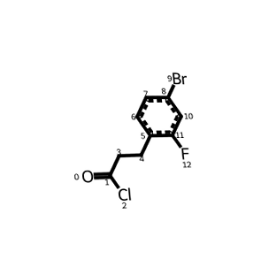 O=C(Cl)CCc1ccc(Br)cc1F